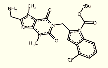 Cn1c(CN)nc2c1c(=O)n(Cc1cc3c(Cl)cccc3n1C(=O)OC(C)(C)C)c(=O)n2C